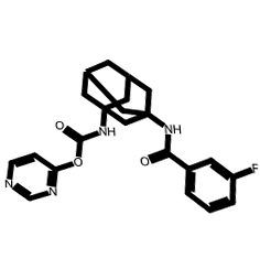 O=C(NC12CC3CC(C1)CC(NC(=O)c1cccc(F)c1)(C3)C2)Oc1ccncn1